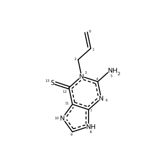 C=CCn1c(N)nc2[nH]cnc2c1=S